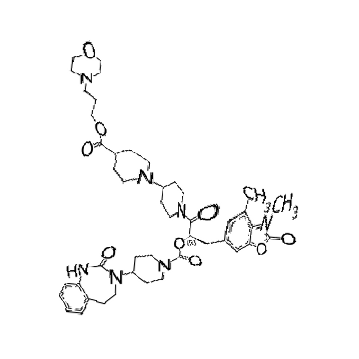 Cc1cc(C[C@@H](OC(=O)N2CCC(N3CCc4ccccc4NC3=O)CC2)C(=O)N2CCC(N3CCC(C(=O)OCCCN4CCOCC4)CC3)CC2)cc2oc(=O)n(C)c12